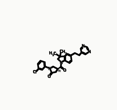 CC1(C)CN(C(=O)[C@H]2CC(=O)N(c3cccc(Cl)c3)C2)c2ccc(CCc3cncnc3)cc21